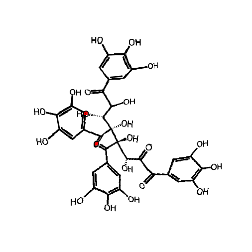 O=C(C(=O)[C@H](O)[C@](O)(C(=O)c1cc(O)c(O)c(O)c1)[C@@](O)(C(=O)c1cc(O)c(O)c(O)c1)[C@H](O)C(O)C(=O)c1cc(O)c(O)c(O)c1)c1cc(O)c(O)c(O)c1